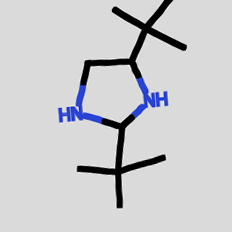 CC(C)(C)C1CNC(C(C)(C)C)N1